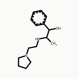 CC(NCCN1CCCC1)C(O)c1ccccc1